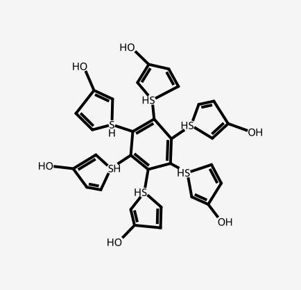 OC1=C[SH](c2c([SH]3C=CC(O)=C3)c([SH]3C=CC(O)=C3)c([SH]3C=CC(O)=C3)c([SH]3C=CC(O)=C3)c2[SH]2C=CC(O)=C2)C=C1